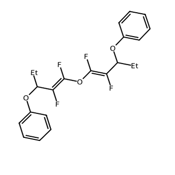 CCC(Oc1ccccc1)C(F)=C(F)OC(F)=C(F)C(CC)Oc1ccccc1